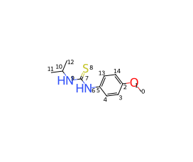 COc1ccc(NC(=S)NC(C)C)cc1